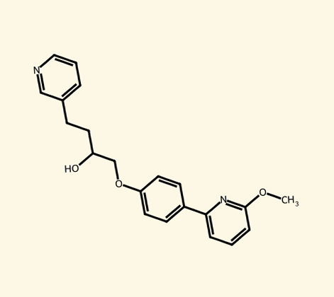 COc1cccc(-c2ccc(OCC(O)CCc3cccnc3)cc2)n1